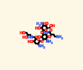 NCC[C@H](O)C(=O)N[C@@H]1C[C@H](N)[C@@H](O[C@H]2O[C@H](CNCC(O)CO)[C@@H](O)C[C@H]2N)[C@H](O)[C@H]1O[C@H]1O[C@H](CO)[C@@H](O)[C@H](N)[C@H]1O